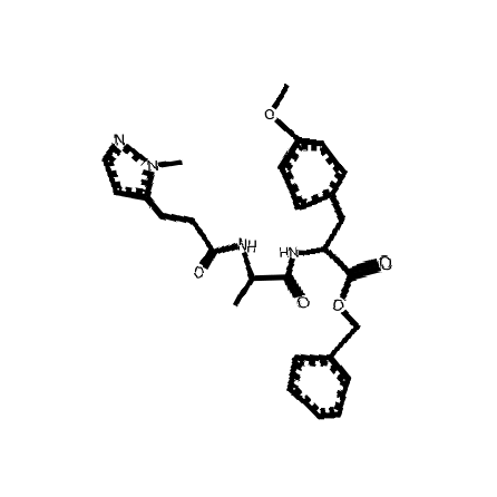 COc1ccc(CC(NC(=O)C(C)NC(=O)CCc2ccnn2C)C(=O)OCc2ccccc2)cc1